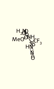 COCCOc1cc(S(N)(=O)=O)ccc1NCC#Cc1sc2c(NC3CCC(N4CC5(CCOCC5)C4)CC3)cccc2c1CC(F)(F)F